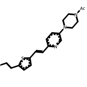 CC(=O)N1CCN(c2ccc(/C=C/c3ccc(CCO)s3)nc2)CC1